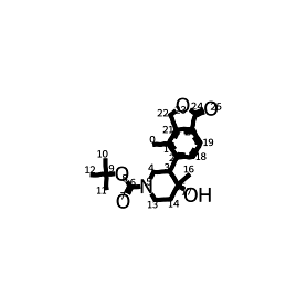 Cc1c(C2CN(C(=O)OC(C)(C)C)CCC2(C)O)ccc2c1COC2=O